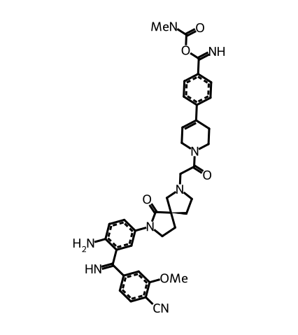 CNC(=O)OC(=N)c1ccc(C2=CCN(C(=O)CN3CC[C@]4(CCN(c5ccc(N)c(C(=N)c6ccc(C#N)c(OC)c6)c5)C4=O)C3)CC2)cc1